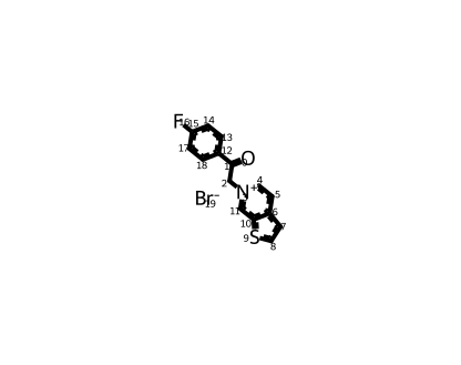 O=C(C[n+]1ccc2ccsc2c1)c1ccc(F)cc1.[Br-]